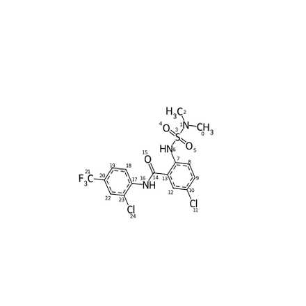 CN(C)S(=O)(=O)Nc1ccc(Cl)cc1C(=O)Nc1ccc(C(F)(F)F)cc1Cl